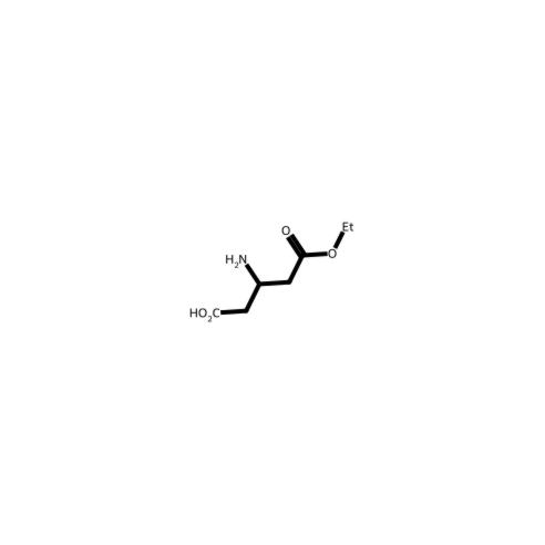 CCOC(=O)CC(N)CC(=O)O